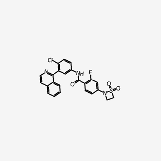 O=C(Nc1ccc(Cl)c(-c2nccc3ccccc23)c1)c1ccc(N2CCS2(=O)=O)cc1F